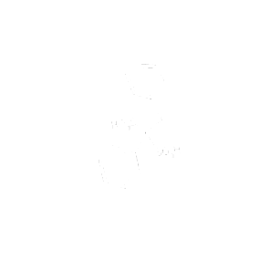 O=S(=O)(O)C(Cc1ccccc1)(c1ccccc1)S(=O)(=O)O